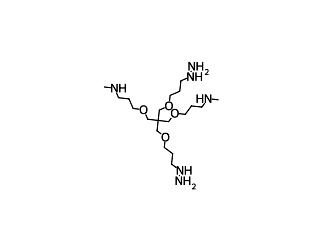 CNCCCOCC(COCCCNC)(COCCCNN)COCCCNN